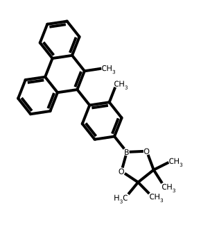 Cc1cc(B2OC(C)(C)C(C)(C)O2)ccc1-c1c(C)c2ccccc2c2ccccc12